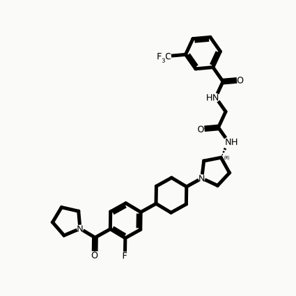 O=C(CNC(=O)c1cccc(C(F)(F)F)c1)N[C@@H]1CCN(C2CCC(c3ccc(C(=O)N4CCCC4)c(F)c3)CC2)C1